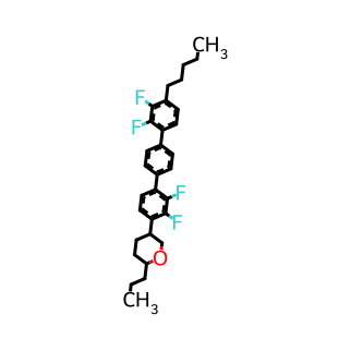 CCCCCc1ccc(-c2ccc(-c3ccc(C4CCC(CCC)OC4)c(F)c3F)cc2)c(F)c1F